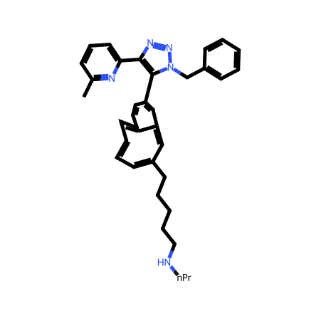 CCCNCCCCCC1=C/C=C/C=c2\ccc(-c3c(-c4cccc(C)n4)nnn3Cc3ccccc3)c\c2=C\1